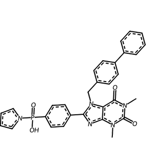 Cn1c(=O)c2c(nc(-c3ccc(P(=O)(O)n4cccc4)cc3)n2Cc2ccc(-c3ccccc3)cc2)n(C)c1=O